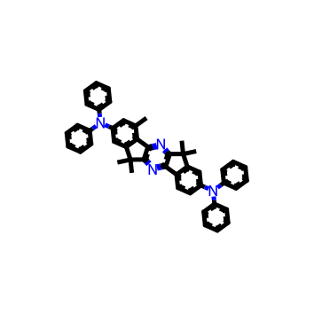 Cc1cc(N(c2ccccc2)c2ccccc2)cc2c1-c1nc3c(nc1C2(C)C)-c1ccc(N(c2ccccc2)c2ccccc2)cc1C3(C)C